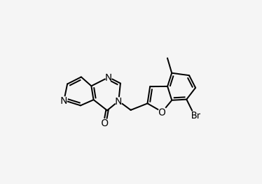 Cc1ccc(Br)c2oc(Cn3cnc4ccncc4c3=O)cc12